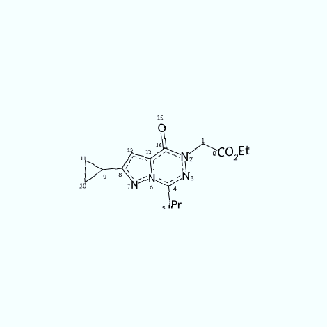 CCOC(=O)Cn1nc(C(C)C)n2nc(C3CC3)cc2c1=O